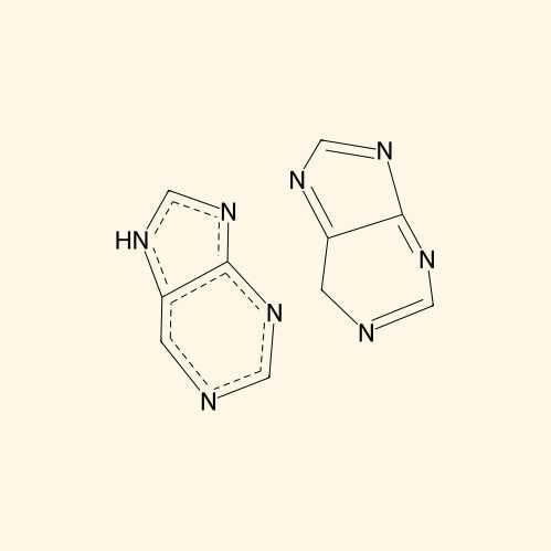 C1=NCC2=NC=NC2=N1.c1ncc2[nH]cnc2n1